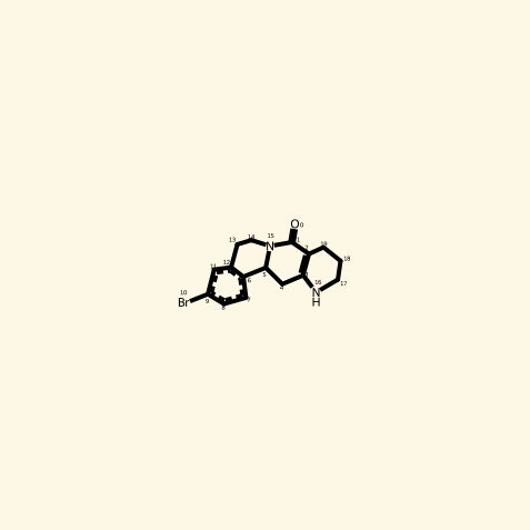 O=C1C2=C(CC3c4ccc(Br)cc4CCN13)NCCC2